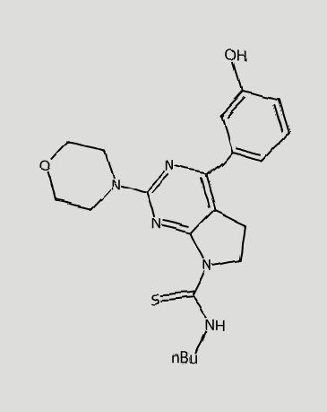 CCCCNC(=S)N1CCc2c(-c3cccc(O)c3)nc(N3CCOCC3)nc21